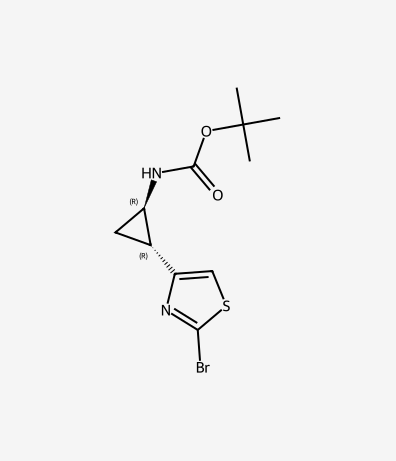 CC(C)(C)OC(=O)N[C@@H]1C[C@H]1c1csc(Br)n1